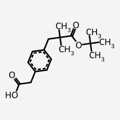 CC(C)(C)OC(=O)C(C)(C)Cc1ccc(CC(=O)O)cc1